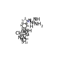 N=C(N)N/N=C1/CCc2ccc(NS(=O)(=O)c3c(Cl)nc4sccn34)cc21